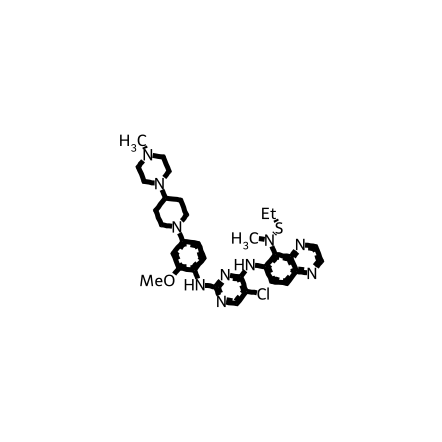 CCSN(C)c1c(Nc2nc(Nc3ccc(N4CCC(N5CCN(C)CC5)CC4)cc3OC)ncc2Cl)ccc2nccnc12